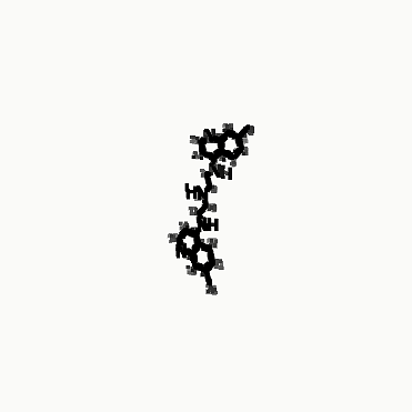 Cc1ccc2c(NCCNCCNc3ccnc4cc(C)ccc34)ccnc2c1